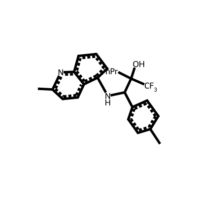 CCCC(O)(C(Nc1cccc2nc(C)ccc12)c1ccc(C)cc1)C(F)(F)F